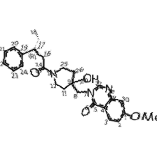 COc1ccc2c(=O)n(CC3(O)CCN(C(=O)C[C@@H](C)c4ccccc4)CC3)cnc2c1